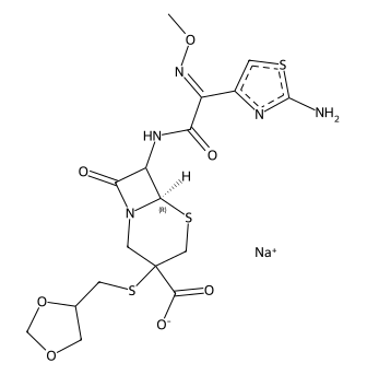 CON=C(C(=O)NC1C(=O)N2CC(SCC3COCO3)(C(=O)[O-])CS[C@H]12)c1csc(N)n1.[Na+]